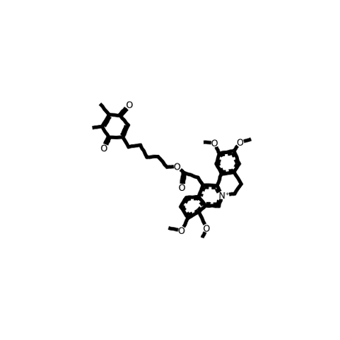 COc1cc2c(cc1OC)-c1c(CC(=O)OCCCCCC3=CC(=O)C(C)=C(C)C3=O)c3ccc(OC)c(OC)c3c[n+]1CC2